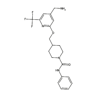 NCc1cc(OCC2CCN(C(=O)Nc3ccccc3)CC2)nc(C(F)(F)F)c1